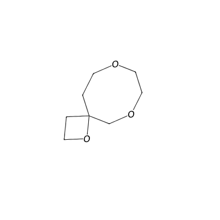 C1COCC2(CCO1)CCO2